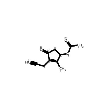 C#CCC1=C(C)C(OC(C)=O)CC1=O